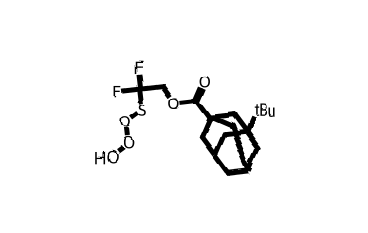 CC(C)(C)C12CC3CC(CC(C(=O)OCC(F)(F)SOOO)(C3)C1)C2